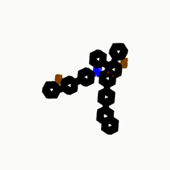 c1cc(-c2ccc(-c3ccc4ccccc4c3)cc2)cc(N(c2ccc(-c3ccc4c(c3)sc3ccccc34)cc2)c2ccccc2-c2cccc3sc4ccccc4c23)c1